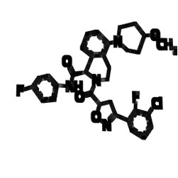 COC1CCN(c2cccc3c2CCN(C(=O)C2CC(c4cccc(Cl)c4F)=NO2)[C@H]3C(=O)Nc2ccc(F)cc2)CC1